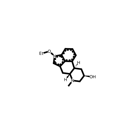 CCOn1cc2c3c(cccc31)[C@H]1C[C@@H](O)CN(C)[C@@H]1C2